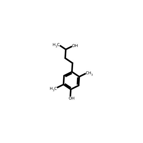 Cc1cc(CCC(C)O)c(C)cc1O